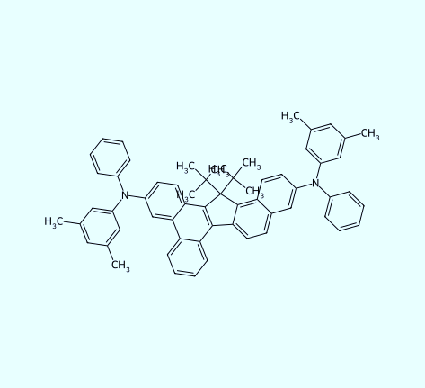 Cc1cc(C)cc(N(c2ccccc2)c2ccc3c4c(ccc3c2)-c2c(c3ccc(N(c5ccccc5)c5cc(C)cc(C)c5)cc3c3ccccc23)C4(C(C)(C)C)C(C)(C)C)c1